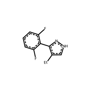 CCc1c[nH]nc1-c1c(F)cccc1F